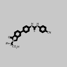 CC(C)[C@@H](C(=O)O)N1Cc2cc(-c3ccc(NC(=S)Nc4ccc(C#N)cc4)cc3)ccc2C1=O